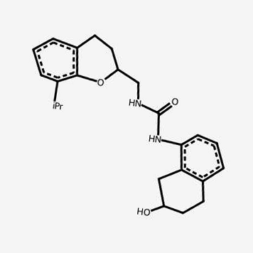 CC(C)c1cccc2c1OC(CNC(=O)Nc1cccc3c1CC(O)CC3)CC2